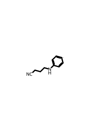 N#CCCCNc1cc[c]cc1